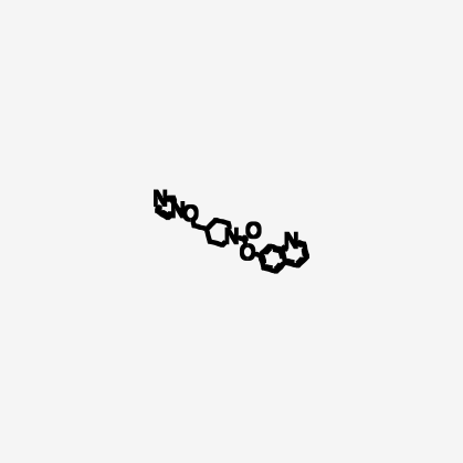 O=C(Oc1ccc2cccnc2c1)N1CCC(COn2ccnc2)CC1